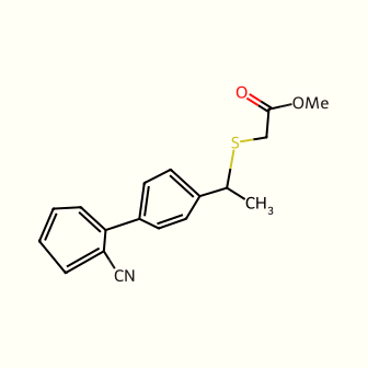 COC(=O)CSC(C)c1ccc(-c2ccccc2C#N)cc1